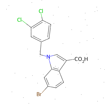 O=C(O)c1cn(Cc2ccc(Cl)c(Cl)c2)c2cc(Br)ccc12